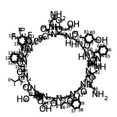 CCCC[C@H]1C(=O)N2C[C@H](O)C[C@@H]2C(=O)N[C@@H](CC(=O)O)C(=O)N[C@@H](C(C)C)C(=O)N(C)[C@@H](Cc2ccccc2)C(=O)N[C@@H](CCCN)C(=O)N2CCNC[C@@H]2C(=O)N[C@@H](Cc2c[nH]c3ccccc23)C(=O)N[C@@H](Cc2ccc(O)cc2)C(=O)N[C@@H](CCO)C(=O)N[C@H](C(=O)NCC(N)=O)CSCC(=O)N[C@@H](Cc2cc(F)c(F)c(F)c2)C(=O)N(C)C(Cc2ccccc2)C(=O)N1C